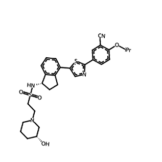 CC(C)Oc1ccc(-c2ncc(-c3cccc4c3CC[C@@H]4NS(=O)(=O)CCN3CCC[C@@H](O)C3)s2)cc1C#N